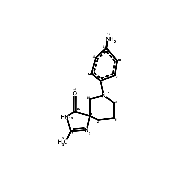 CC1=NC2(CCCN(c3ccc(N)cc3)C2)C(=O)N1